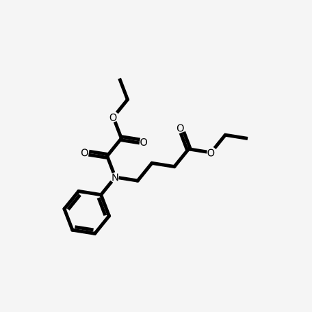 CCOC(=O)CCCN(C(=O)C(=O)OCC)c1ccccc1